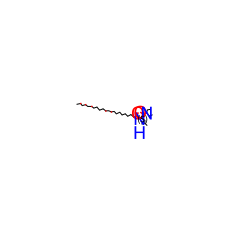 CCCCCCCCCCCCCCCCCCCCCC(=O)N[C@@H](CC(C)C)C(=O)N(CC)CC